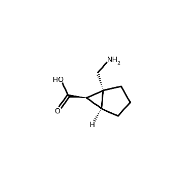 NC[C@]12CCC[C@H]1[C@H]2C(=O)O